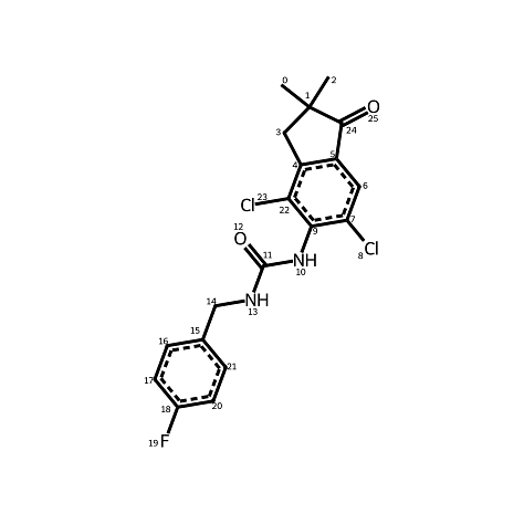 CC1(C)Cc2c(cc(Cl)c(NC(=O)NCc3ccc(F)cc3)c2Cl)C1=O